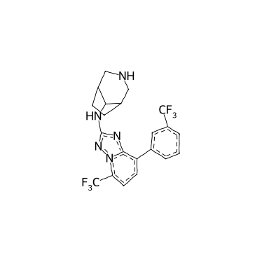 FC(F)(F)c1cccc(-c2ccc(C(F)(F)F)n3nc(NC4C5CCC4CNC5)nc23)c1